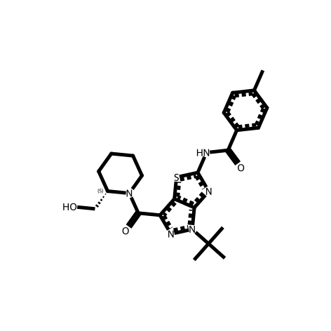 Cc1ccc(C(=O)Nc2nc3c(s2)c(C(=O)N2CCCC[C@H]2CO)nn3C(C)(C)C)cc1